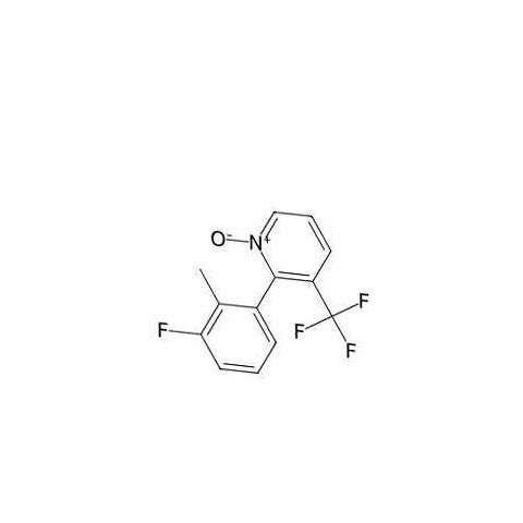 Cc1c(F)cccc1-c1c(C(F)(F)F)ccc[n+]1[O-]